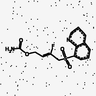 NC(=O)OC/C=C(\F)CS(=O)(=O)c1cccc2cccnc12